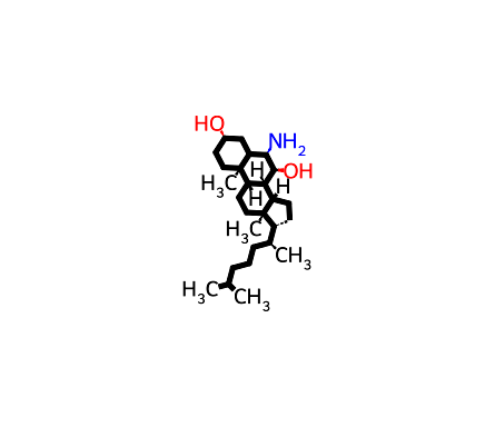 CC(C)CCC[C@@H](C)[C@H]1CC[C@H]2[C@@H]3[C@H](O)[C@@H](N)C4C[C@@H](O)CC[C@]4(C)[C@H]3CC[C@]12C